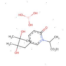 CCOC(=O)C(C)n1cc(CC(C)(O)C(C)(C)O)ccc1=O.OB(O)O